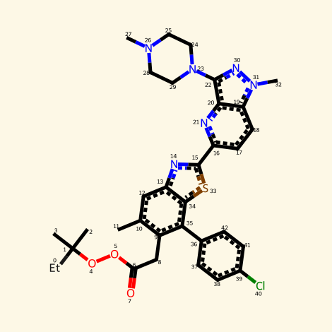 CCC(C)(C)OOC(=O)Cc1c(C)cc2nc(-c3ccc4c(n3)c(N3CCN(C)CC3)nn4C)sc2c1-c1ccc(Cl)cc1